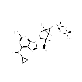 C#C[C@]1(F)[C@H](n2cnc3c(N(C)C4CC4)nc(N)nc32)O[C@@H]2C(OP(=O)(O)OP(=O)(O)O)[C@@]21O